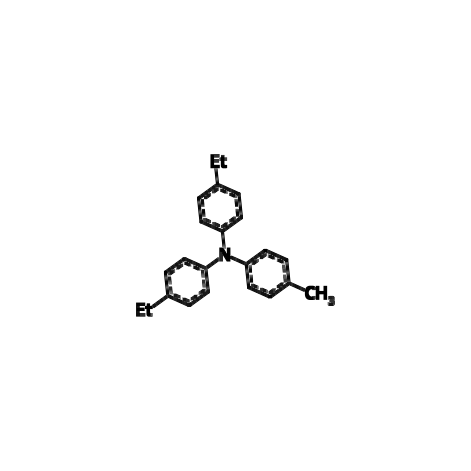 CCc1ccc(N(c2ccc(C)cc2)c2ccc(CC)cc2)cc1